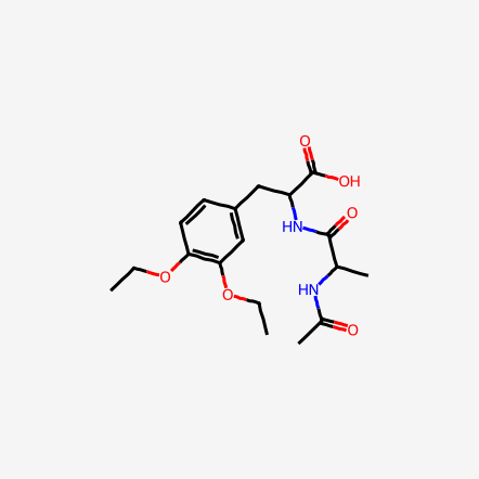 CCOc1ccc(CC(NC(=O)C(C)NC(C)=O)C(=O)O)cc1OCC